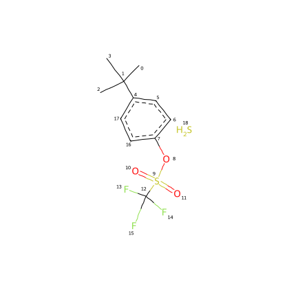 CC(C)(C)c1ccc(OS(=O)(=O)C(F)(F)F)cc1.S